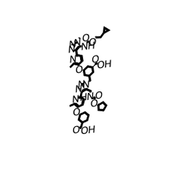 Cc1nc(-c2nnn(C)c2NC(=O)OCCC2CC2)ccc1O[C@H]1CC(Cn2nnc(-c3ccc(O[C@H]4CCCC(C(=O)O)C4)c(C)n3)c2CNC(=O)OC2CCCC2)C[C@H](C(=O)O)C1